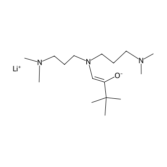 CN(C)CCCN(C=C([O-])C(C)(C)C)CCCN(C)C.[Li+]